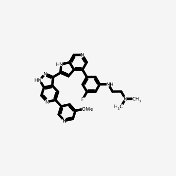 COc1cncc(-c2cc3c(-c4cc5c(-c6cc(F)cc(NCCN(C)C)c6)cncc5[nH]4)n[nH]c3cn2)c1